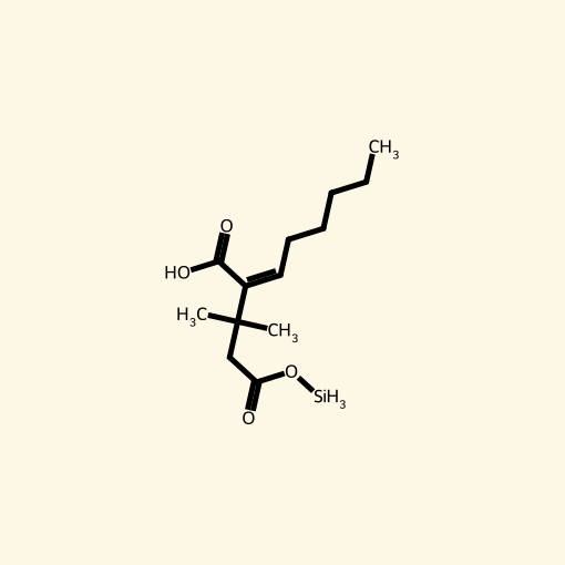 CCCCCC=C(C(=O)O)C(C)(C)CC(=O)O[SiH3]